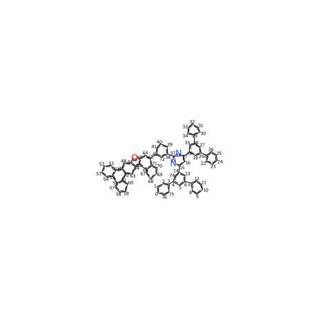 c1ccc(-c2cc(-c3ccccc3)cc(-c3cc(-c4cc(-c5ccccc5)cc(-c5ccccc5)c4)nc(-c4cccc(-c5cc6oc7cc8c9ccccc9c9ccccc9c8cc7c6c6ccccc56)c4)n3)c2)cc1